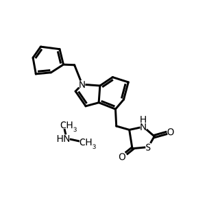 CNC.O=C1NC(Cc2cccc3c2ccn3Cc2ccccc2)C(=O)S1